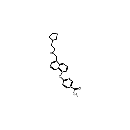 NC(=O)c1ccc(Oc2cccc3c(CNCCC4CCCC4)cccc23)nc1